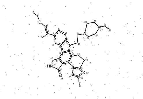 CCO/N=C(\C)c1ccc2c(c1)c1c3c(c4c(c1n2CCN1CCN(CC)CC1)CCc1nn(C)cc1-4)C(=O)NC3